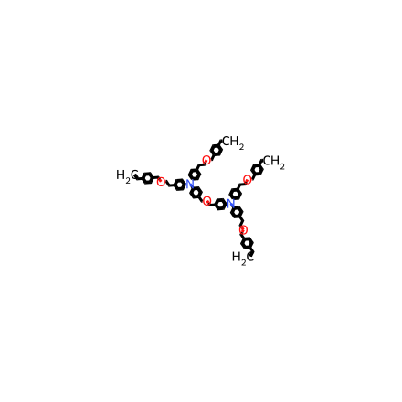 C=Cc1ccc(COCCc2ccc(N(c3ccc(CCOCc4ccc(C=C)cc4)cc3)c3ccc(COCc4ccc(N(c5ccc(CCOCc6ccc(C=C)cc6)cc5)c5ccc(CCOCc6ccc(C=C)cc6)cc5)cc4)cc3)cc2)cc1